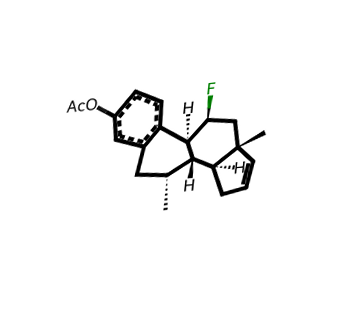 CC(=O)Oc1ccc2c(c1)C[C@@H](C)[C@@H]1[C@@H]2[C@@H](F)C[C@]2(C)C=CC[C@@H]12